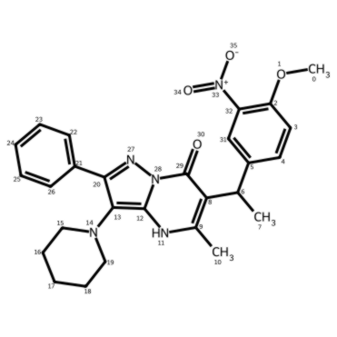 COc1ccc(C(C)c2c(C)[nH]c3c(N4CCCCC4)c(-c4ccccc4)nn3c2=O)cc1[N+](=O)[O-]